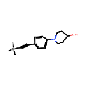 C[Si](C)(C)C#Cc1ccc(N2CCC(O)CC2)cc1